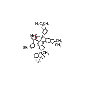 Cc1cc2c3c(c1)N(c1ccc(C(C)(C)C)cc1-c1ccccc1)c1cc(N4c5ccccc5C5(C)CCC45C)ccc1B3c1cc3c(cc1N2c1ccc2c(c1)CC(C)(C)C2)CC(C)(C)C3